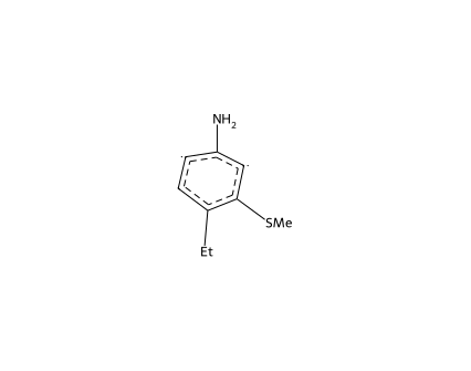 CCc1c[c]c(N)[c]c1SC